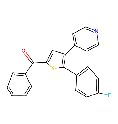 O=C(c1ccccc1)c1cc(-c2ccncc2)c(-c2ccc(F)cc2)s1